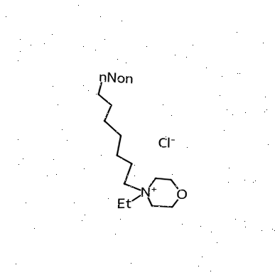 CCCCCCCCCCCCCCCC[N+]1(CC)CCOCC1.[Cl-]